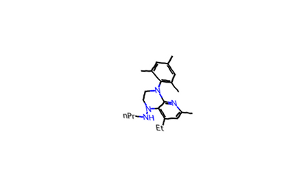 CCCNN1CCN(c2c(C)cc(C)cc2C)c2nc(C)cc(CC)c21